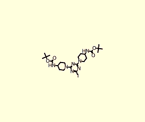 CC(C)(C)OC(=O)NC1CCN(c2nc(I)nc(N3CCC(NC(=O)OC(C)(C)C)CC3)n2)CC1